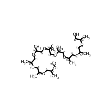 CCOC(C)COC(C)COC(C)COC(C)COC(C)COC(C)COC(C)COC(C)COC(C)CO